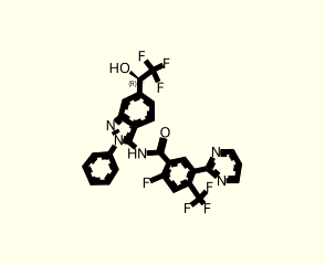 O=C(Nc1c2ccc([C@@H](O)C(F)(F)F)cc2nn1-c1ccccc1)c1cc(-c2ncccn2)c(C(F)(F)F)cc1F